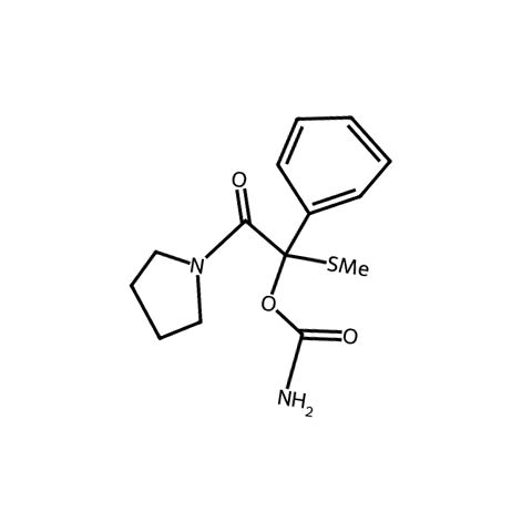 CSC(OC(N)=O)(C(=O)N1CCCC1)c1ccccc1